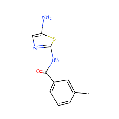 [CH2]c1cccc(C(=O)Nc2ncc(N)s2)c1